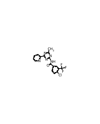 Cc1nc(NC(=O)c2ccc(Cl)c(C(F)(F)F)c2)nc(-c2ccccn2)n1